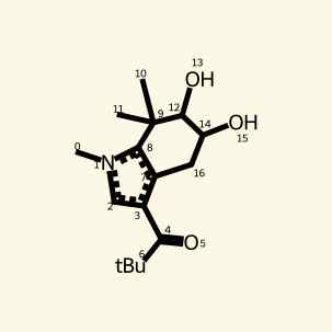 Cn1cc(C(=O)C(C)(C)C)c2c1C(C)(C)C(O)C(O)C2